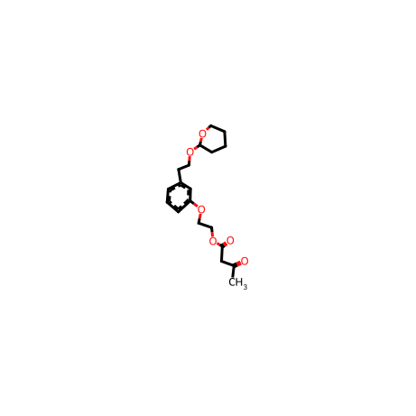 CC(=O)CC(=O)OCCOc1cccc(CCOC2CCCCO2)c1